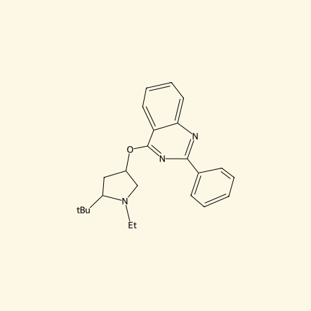 CCN1CC(Oc2nc(-c3ccccc3)nc3ccccc23)CC1C(C)(C)C